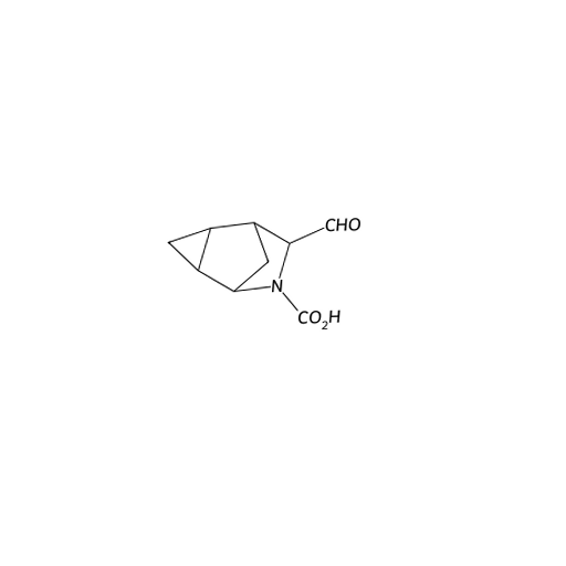 O=CC1C2CC(C3CC23)N1C(=O)O